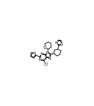 Clc1nc(-c2cccs2)nc2c1nc(N1CCCC(c3nccs3)C1)n2C1CCCCO1